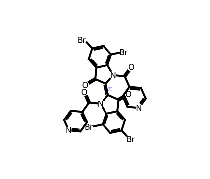 O=C1/C(=C2/C(=O)c3cc(Br)cc(Br)c3N2C(=O)c2ccncc2)N(C(=O)c2ccncc2)c2c(Br)cc(Br)cc21